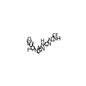 Fc1cc(-n2ccc3cnc(Nc4ccnc(CN5CCNC(C(F)(F)F)C5)c4)nc32)cc(F)c1CN1CCOCC1